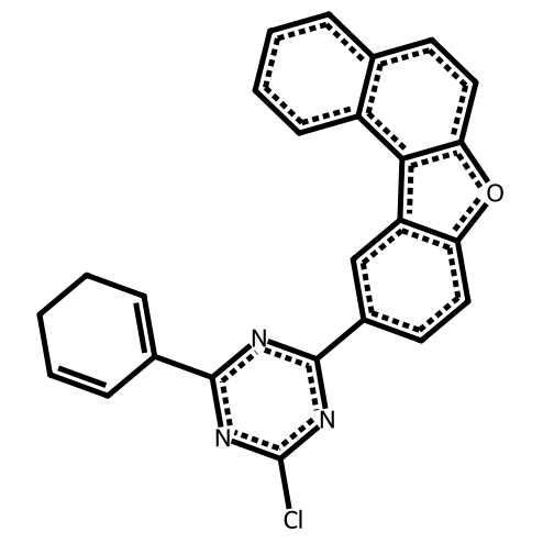 Clc1nc(C2=CCCC=C2)nc(-c2ccc3oc4ccc5ccccc5c4c3c2)n1